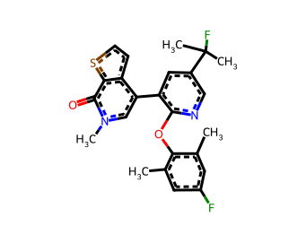 Cc1cc(F)cc(C)c1Oc1ncc(C(C)(C)F)cc1-c1cn(C)c(=O)c2sccc12